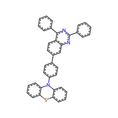 c1ccc(-c2nc(-c3ccccc3)c3ccc(-c4ccc(N5c6ccccc6Sc6ccccc65)cc4)cc3n2)cc1